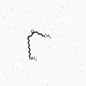 CCCCCC1OC1C/C=C\CCCCCCCCN